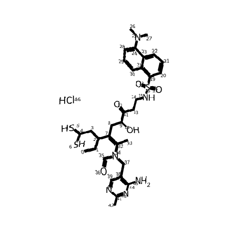 CCC(CC(S)S)C(CC(O)C(=O)CCNS(=O)(=O)c1cccc2c(N(C)C)cccc12)=C(C)N(C=O)Cc1cnc(C)nc1N.Cl